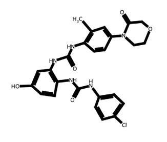 Cc1cc(N2CCOCC2=O)ccc1NC(=O)Nc1cc(O)ccc1NC(=O)Nc1ccc(Cl)cc1